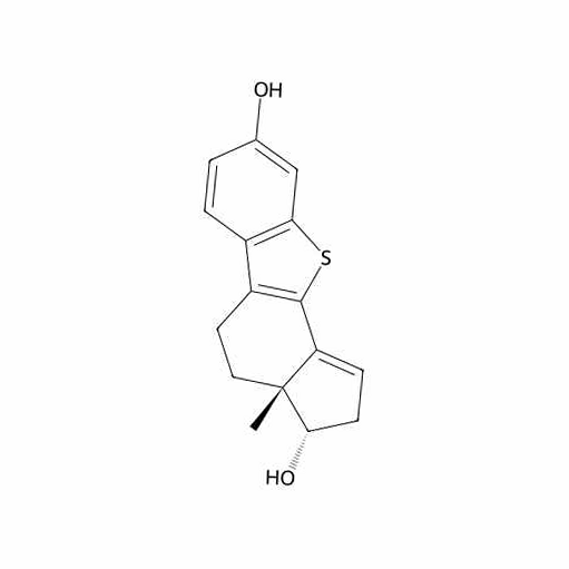 C[C@@]12CCc3c(sc4cc(O)ccc34)C1=CC[C@@H]2O